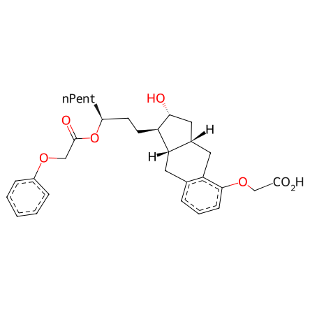 CCCCC[C@@H](CC[C@@H]1[C@H]2Cc3cccc(OCC(=O)O)c3C[C@H]2C[C@H]1O)OC(=O)COc1ccccc1